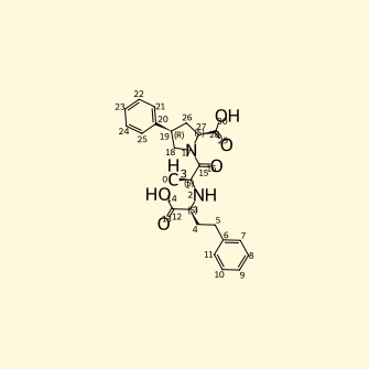 C[C@H](N[C@@H](CCc1ccccc1)C(=O)O)C(=O)N1C[C@@H](c2ccccc2)C[C@H]1C(=O)O